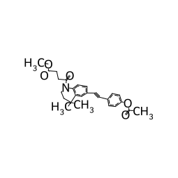 COC(=O)CCC(=O)N1CCC(C)(C)c2cc(C#Cc3ccc(OC(C)=O)cc3)ccc21